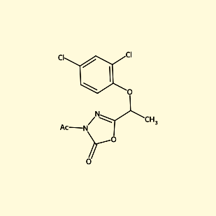 CC(=O)n1nc(C(C)Oc2ccc(Cl)cc2Cl)oc1=O